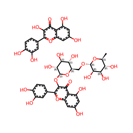 C[C@@H]1O[C@@H](OC[C@H]2O[C@@H](Oc3c(-c4ccc(O)c(O)c4)oc4cc(O)cc(O)c4c3=O)[C@H](O)[C@@H](O)[C@@H]2O)[C@H](O)[C@H](O)[C@H]1O.O=c1c(O)c(-c2ccc(O)c(O)c2)oc2cc(O)cc(O)c12